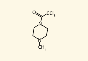 CN1CCN(C(=O)C(Cl)(Cl)Cl)CC1